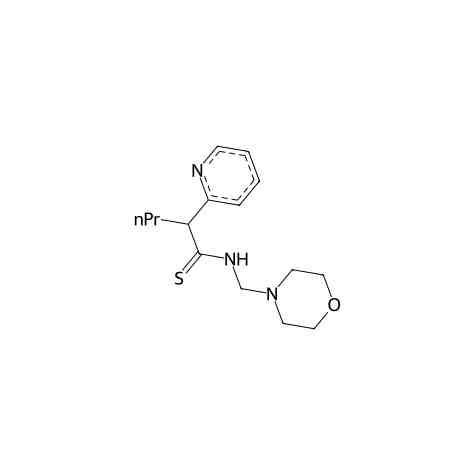 CCCC(C(=S)NCN1CCOCC1)c1ccccn1